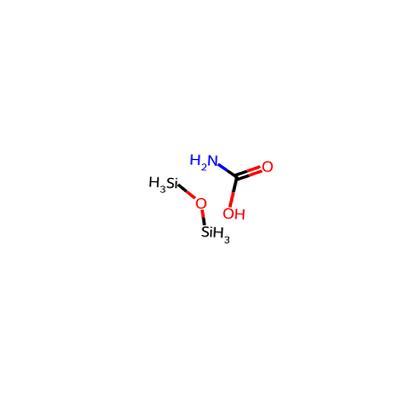 NC(=O)O.[SiH3]O[SiH3]